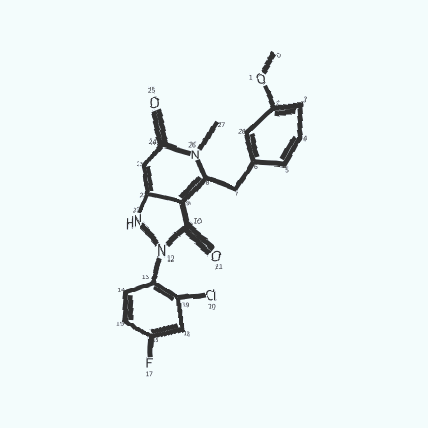 COc1cccc(Cc2c3c(=O)n(-c4ccc(F)cc4Cl)[nH]c3cc(=O)n2C)c1